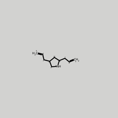 C=CCC1CNC(CC=C)C1